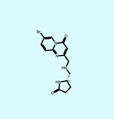 O=C1CC[C@@H](CNCc2cc(=O)n3cc(Br)ccc3n2)N1